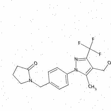 Cc1c(CO)c(C(F)(F)F)nn1-c1ccc(CN2CCCC2=O)cc1